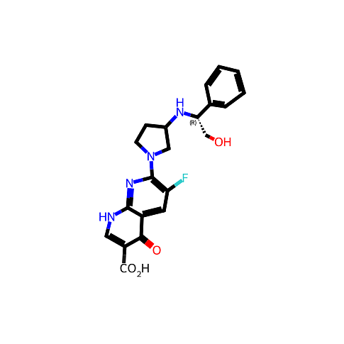 O=C(O)c1c[nH]c2nc(N3CCC(N[C@@H](CO)c4ccccc4)C3)c(F)cc2c1=O